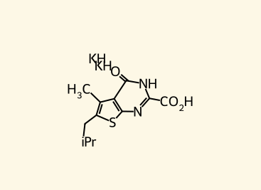 Cc1c(CC(C)C)sc2nc(C(=O)O)[nH]c(=O)c12.[KH].[KH]